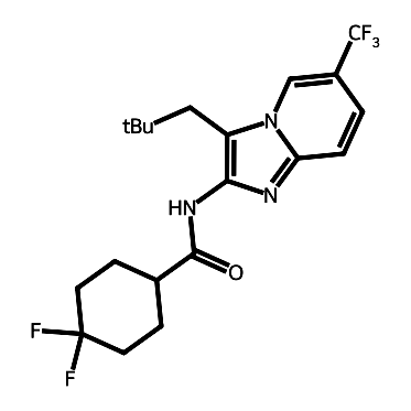 CC(C)(C)Cc1c(NC(=O)C2CCC(F)(F)CC2)nc2ccc(C(F)(F)F)cn12